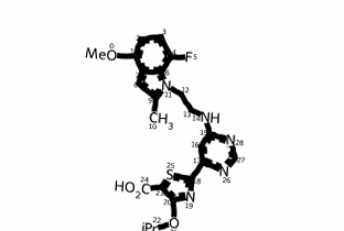 COc1ccc(F)c2c1cc(C)n2CCNc1cc(-c2nc(OC(C)C)c(C(=O)O)s2)ncn1